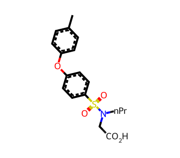 CCCN(CC(=O)O)S(=O)(=O)c1ccc(Oc2ccc(C)cc2)cc1